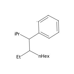 [CH2]CC(CCCCCC)C(c1[c]cccc1)C(C)C